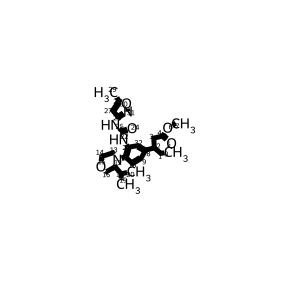 CCC(CC(=O)OC)c1ccc(N2CCOCC2C(C)C)c(NC(=O)Nc2cc(C)on2)c1